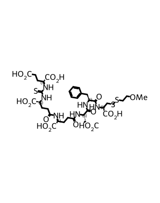 COCCSSC[C@H](NC(=O)[C@H](Cc1ccccc1)NC(=O)[C@H](CC(=O)O)NC(=O)CC[C@H](NC(=O)CC[C@H](NC(=S)N[C@@H](CCC(=O)O)C(=O)O)C(=O)O)C(=O)O)C(=O)O